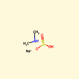 CNC.O=S([O-])O.[Na+]